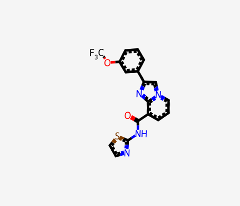 O=C(Nc1nccs1)c1cccn2cc(-c3cccc(OC(F)(F)F)c3)nc12